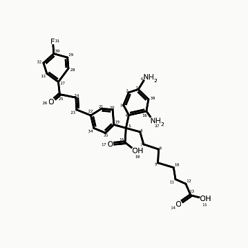 Nc1ccc(C(CCCCCCCC(=O)O)(C(=O)O)c2ccc(C=CC(=O)c3ccc(F)cc3)cc2)c(N)c1